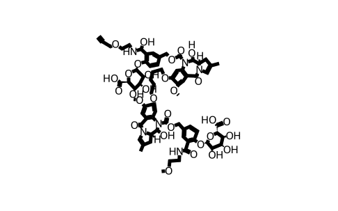 C#CCOCCNC(O)c1cc(COC(=O)N2c3cc(OCCCCCOc4cc5c(cc4OC)C(=O)N4C=C(C)C[C@H]4C(O)N5C(=O)OCc4ccc(O[C@@H]5O[C@H](C(=O)O)[C@@H](O)[C@H](O)[C@H]5O)c(C(=O)NCCOC)c4)c(OC)cc3C(=O)N3C=C(C)C[C@H]3C2O)ccc1O[C@@H]1O[C@H](C(=O)O)[C@@H](O)[C@H](O)[C@H]1O